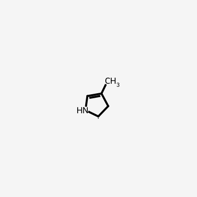 CC1=CN[CH]C1